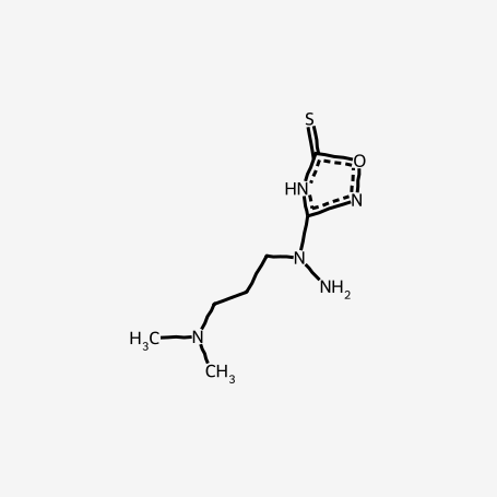 CN(C)CCCN(N)c1noc(=S)[nH]1